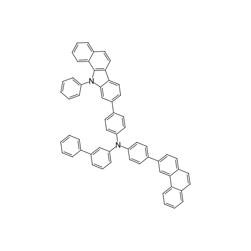 c1ccc(-c2cccc(N(c3ccc(-c4ccc5ccc6ccccc6c5c4)cc3)c3ccc(-c4ccc5c6ccc7ccccc7c6n(-c6ccccc6)c5c4)cc3)c2)cc1